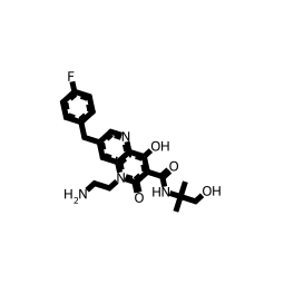 CC(C)(CO)NC(=O)c1c(O)c2ncc(Cc3ccc(F)cc3)cc2n(CCN)c1=O